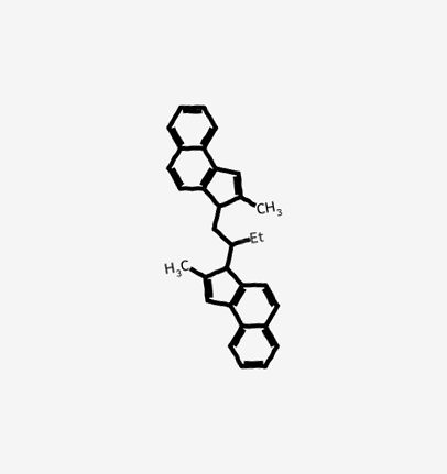 CCC(CC1C(C)=Cc2c1ccc1ccccc21)C1C(C)=Cc2c1ccc1ccccc21